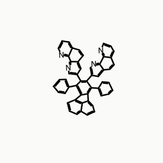 c1ccc(-c2c(-c3cnc4c(ccc5cccnc54)c3)c(-c3cnc4c(ccc5cccnc54)c3)c(-c3ccccc3)c3c2-c2cccc4cccc-3c24)cc1